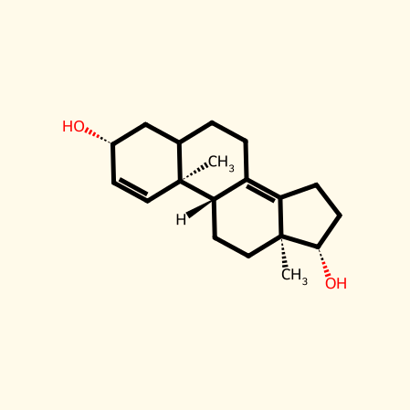 C[C@]12CC[C@H]3C(=C1CC[C@@H]2O)CCC1C[C@@H](O)C=C[C@@]13C